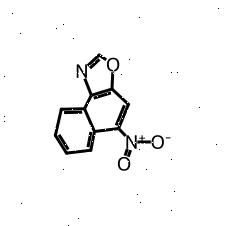 O=[N+]([O-])c1cc2ocnc2c2ccccc12